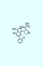 CN1CCC(c2c(O)cc(O)c3c(=O)cc(-c4ccccc4Cl)oc23)C(OC(=O)O)C1